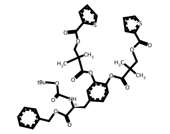 CC(C)(C)OC(=O)N[C@@H](Cc1ccc(OC(=O)C(C)(C)COC(=O)c2cccs2)c(OC(=O)C(C)(C)COC(=O)c2cccs2)c1)C(=O)OCc1ccccc1